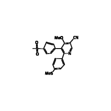 COc1c(C#N)cnc(-c2ccc(SC)cc2)c1-c1ccc(S(C)(=O)=O)cc1